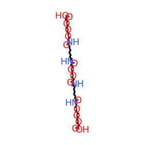 O=C(O)CCOCCOCCOCCNC(=O)CCCCCCCNC(=O)CCOCCOCCC(=O)NCCCCCCCC(=O)NCCOCCOCCOCCC(=O)O